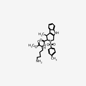 COC(=O)C(CCCCN)NC(=O)C1C(C)c2c([nH]c3ccccc23)CN1S(=O)(=O)c1ccc(C)cc1